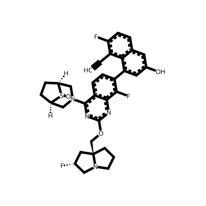 C#Cc1c(F)ccc2cc(O)cc(-c3ccc4c(N5C[C@H]6CC[C@@H](C5)[S+]6[O-])nc(OC[C@@]56CCCN5C[C@H](F)C6)nc4c3F)c12